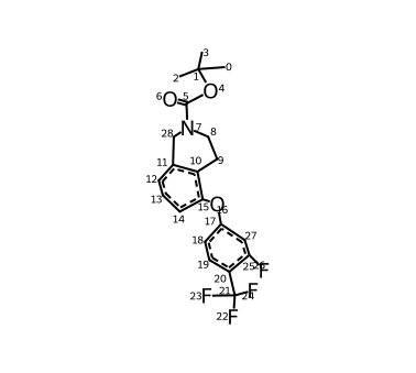 CC(C)(C)OC(=O)N1CCc2c(cccc2Oc2ccc(C(F)(F)F)c(F)c2)C1